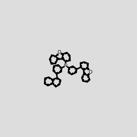 c1cc(-c2cccc3ccccc23)cc(N(c2cccc(-c3cccc4oc5ccccc5c34)c2)c2cccc3oc4ccccc4c23)c1